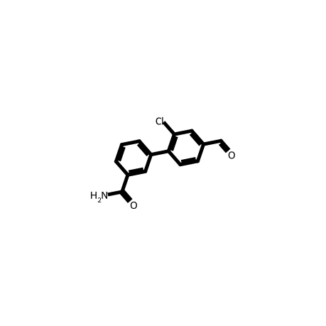 NC(=O)c1cccc(-c2ccc(C=O)cc2Cl)c1